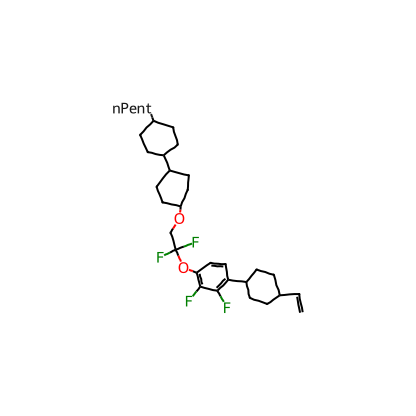 C=CC1CCC(c2ccc(OC(F)(F)COC3CCC(C4CCC(CCCCC)CC4)CC3)c(F)c2F)CC1